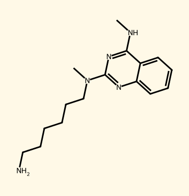 CNc1nc(N(C)CCCCCCN)nc2ccccc12